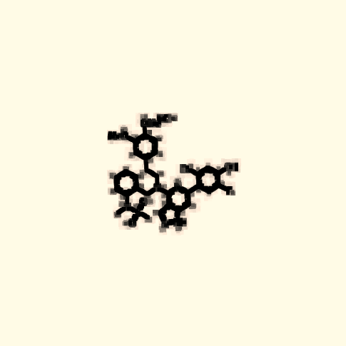 CCc1cc(O)c(F)cc1-c1cc2[nH]ncc2c(N(CCc2ccc(OC)c(OC)c2)Cc2ccccc2N(C)S(C)(=O)=O)n1.Cl